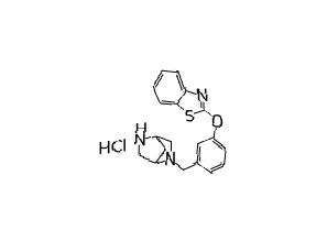 Cl.c1cc(CN2CC3CC2CN3)cc(Oc2nc3ccccc3s2)c1